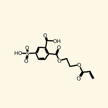 C=CC(=O)OCCOC(=O)c1ccc(S(=O)(=O)O)cc1C(=O)O